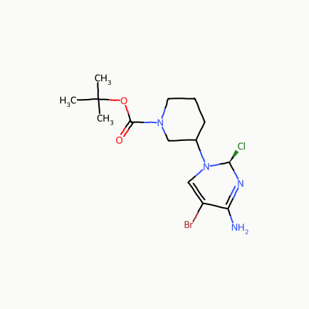 CC(C)(C)OC(=O)N1CCCC(N2C=C(Br)C(N)=N[C@@H]2Cl)C1